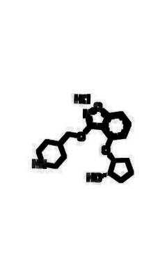 Cl.O[C@H]1CCC[C@@H]1Oc1cccc2onc(OCC3CCNCC3)c12